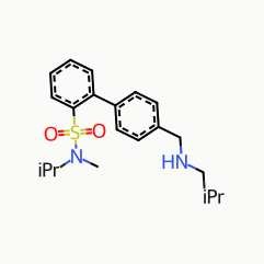 CC(C)CNCc1ccc(-c2ccccc2S(=O)(=O)N(C)C(C)C)cc1